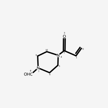 C=CC(=O)N1CCN(C=O)CC1